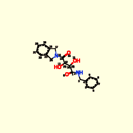 O=C(NCc1ccccc1)[C@H](O)[C@@H](O)C(=O)N1Cc2ccccc2C1